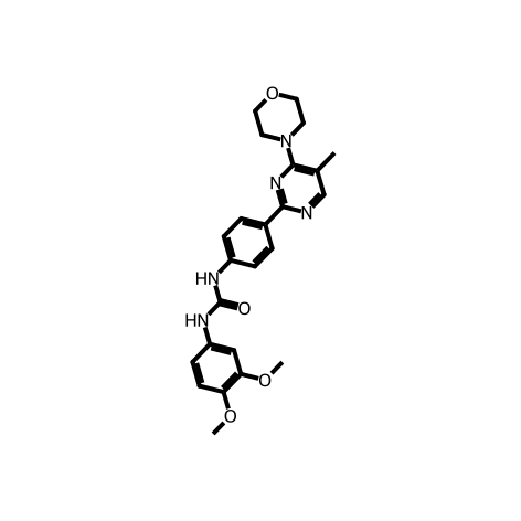 COc1ccc(NC(=O)Nc2ccc(-c3ncc(C)c(N4CCOCC4)n3)cc2)cc1OC